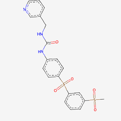 CS(=O)(=O)c1cccc(S(=O)(=O)c2ccc(NC(=O)NCc3cccnc3)cc2)c1